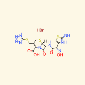 Br.Cn1nnnc1SCC1=C(C(=O)O)N2C(=O)C(NC(=O)/C(=N\O)c3csc(=N)[nH]3)[C@H]2SC1